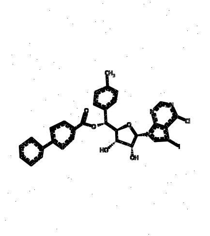 Cc1ccc([C@@H](OC(=O)c2ccc(-c3ccccc3)cc2)[C@H]2O[C@@H](n3cc(I)c4c(Cl)ncnc43)[C@H](O)[C@@H]2O)cc1